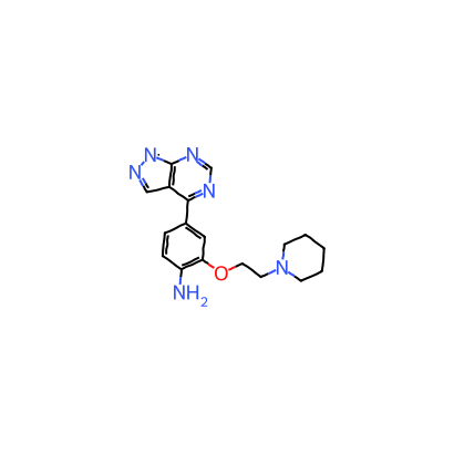 Nc1ccc(-c2ncnc3c2C=N[N]3)cc1OCCN1CCCCC1